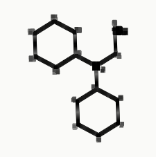 CC(C)(C)[CH]N(C1CCCCC1)C1CCCCC1